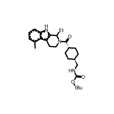 CCC1c2[nH]c3cccc(C)c3c2CCN1C(=O)[C@H]1CC[C@H](CNC(=O)OC(C)(C)C)CC1